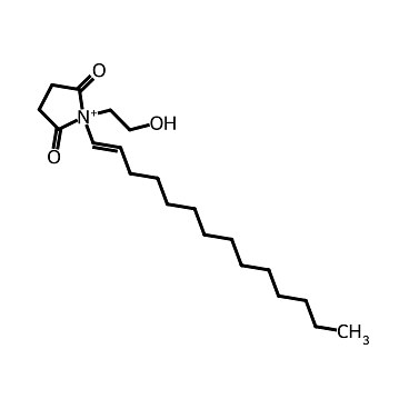 CCCCCCCCCCCCC=C[N+]1(CCO)C(=O)CCC1=O